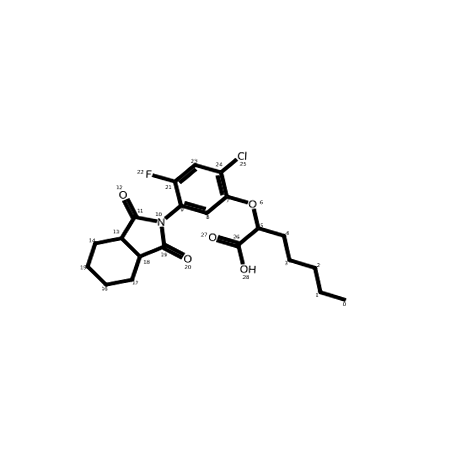 CCCCCC(Oc1cc(N2C(=O)C3CCCCC3C2=O)c(F)cc1Cl)C(=O)O